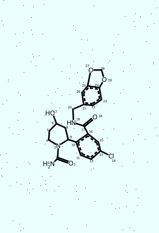 NC(=O)N1CCC(O)CC1c1ccc(Cl)cc1C(=O)NCc1ccc2c(c1)OCO2